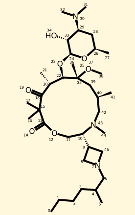 CCCCC(C)CN1CC([C@@H]2COC(=O)C(C)(C)C(=O)[C@H](C)[C@@H](O[C@@H]3O[C@H](C)C[C@H](N(C)C)[C@H]3O)[C@](C)(OC)C[C@@H](C)CN2C)C1